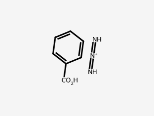 N=[N+]=N.O=C(O)c1ccccc1